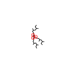 CCC(C)CC(C)CCOB(OCCC(C)CC(C)CC)OCCC(C)CC(C)CC